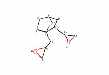 C1CC2(CC3CO3)CC1CC2C1CO1